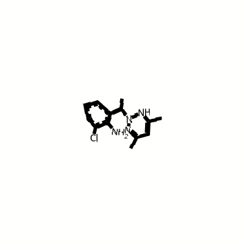 CC1=CC(C)=NN(C(C)c2cccc(Cl)c2N)N1